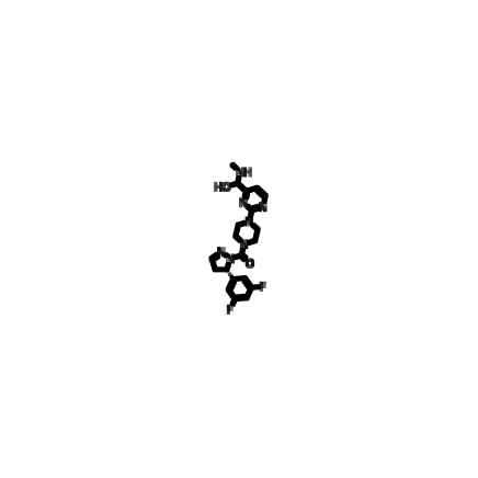 CNC(O)c1ccnc(N2CCN(C(=O)N3N=CC[C@H]3c3cc(F)cc(F)c3)CC2)n1